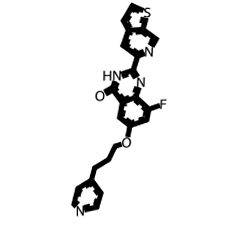 O=c1[nH]c(-c2cc3ccsc3cn2)nc2c(F)cc(OCCCc3ccncc3)cc12